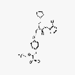 CCOC(Cc1ccc(OCCN(CCC2CCCC2)C(=O)Oc2ccccc2Cl)cc1)C(=O)O